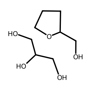 OCC(O)CO.OCC1CCCO1